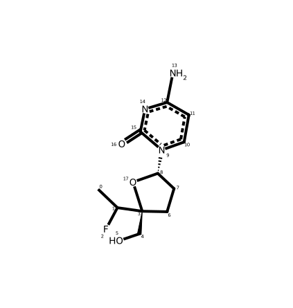 CC(F)[C@@]1(CO)CC[C@@H](n2ccc(N)nc2=O)O1